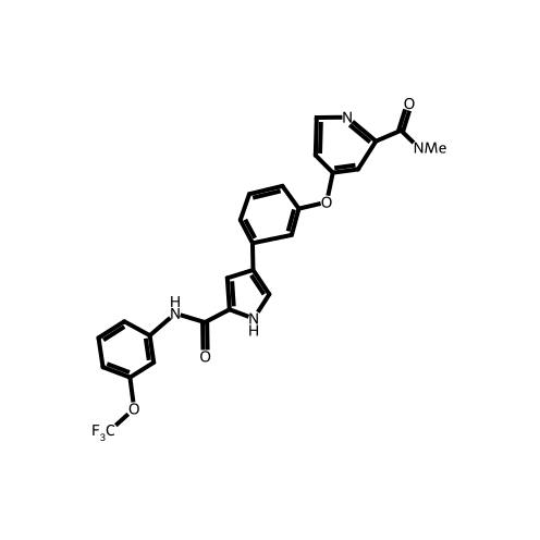 CNC(=O)c1cc(Oc2cccc(-c3c[nH]c(C(=O)Nc4cccc(OC(F)(F)F)c4)c3)c2)ccn1